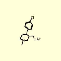 CC(=O)OC[C@H]1CN(C)CC[C@H]1c1ccc(Cl)cc1